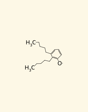 CCCCCc1cccc([O])c1CCCCC